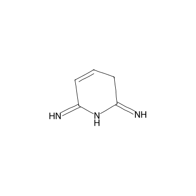 N=C1C=CCC(=N)N1